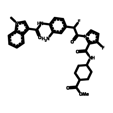 COC(=O)C1CCC(NC(=O)c2c(F)ccn2C(=O)C(F)c2ccc(NC(=O)c3cn(C)c4ccccc34)c(N)c2)CC1